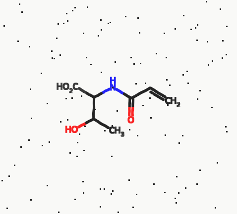 C=CC(=O)NC(C(=O)O)C(C)O